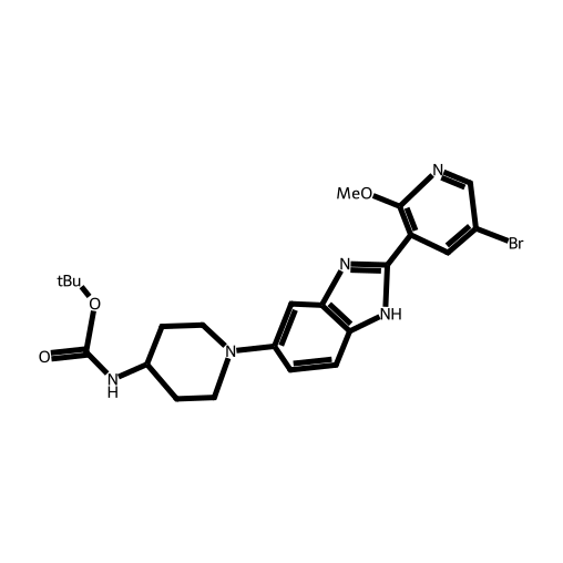 COc1ncc(Br)cc1-c1nc2cc(N3CCC(NC(=O)OC(C)(C)C)CC3)ccc2[nH]1